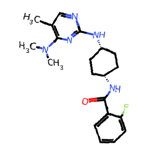 Cc1cnc(N[C@H]2CC[C@@H](NC(=O)c3ccccc3F)CC2)nc1N(C)C